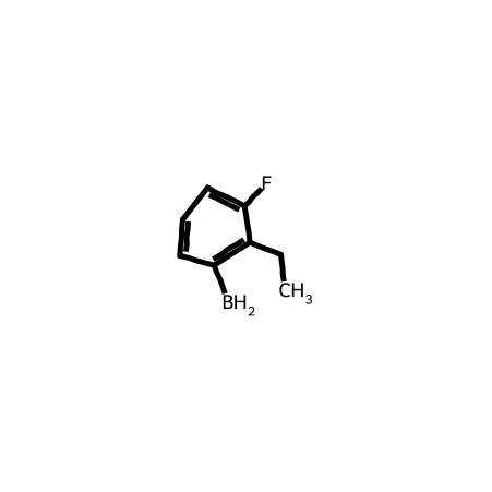 Bc1cccc(F)c1CC